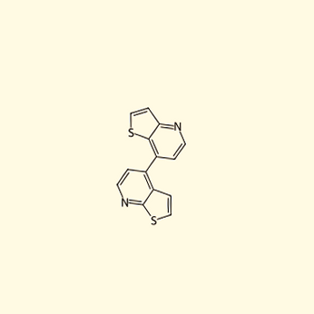 c1cc(-c2ccnc3sccc23)c2sccc2n1